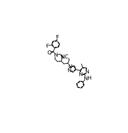 Cc1cnc(Nc2ccccc2)nc1-c1cnn(C(CC#N)CC2CCN(C(=O)c3ccc(F)cc3F)CC2)c1